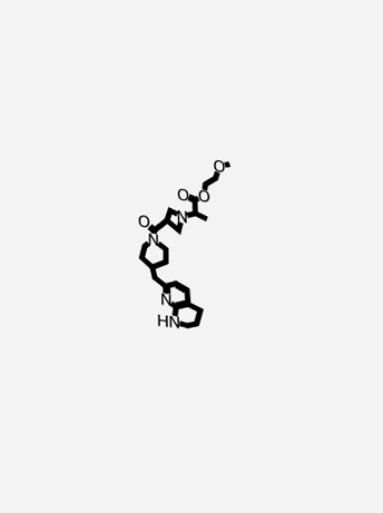 COCCOC(=O)C(C)N1CC(C(=O)N2CCC(Cc3ccc4c(n3)NCCC4)CC2)C1